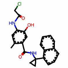 Cc1cc(NC(=O)CCl)c(O)cc1C(=O)NC1(c2cccc3ccccc23)CC1